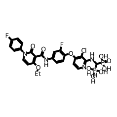 CCOc1ccn(-c2ccc(F)cc2)c(=O)c1C(=O)Nc1ccc(Oc2ccnc(NC(P(=O)(O)O)[PH](O)(O)O)c2Cl)c(F)c1